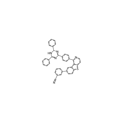 N#Cc1cccc(-c2ccc3sc4ccnc(-c5ccc(C6=NC(c7ccccc7)NC(c7ccccc7)=N6)cc5)c4c3c2)c1